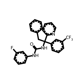 O=C(Nc1cccc(F)c1)NC(Cc1ccccc1)(c1cccc(C(F)(F)F)c1)c1ccccn1